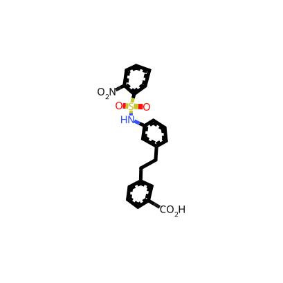 O=C(O)c1cccc(CCc2cccc(NS(=O)(=O)c3ccccc3[N+](=O)[O-])c2)c1